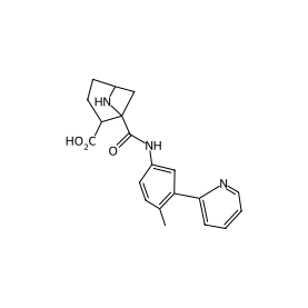 Cc1ccc(NC(=O)C23CC(CCC2C(=O)O)N3)cc1-c1ccccn1